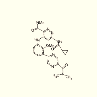 CNC(=O)c1nnc(NC(=O)C2CC2)cc1Nc1cccc(-c2cnc(C(=O)N(C)C)cn2)c1OC